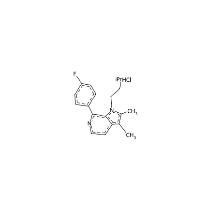 Cc1c(C)n(CCC(C)C)c2c(-c3ccc(F)cc3)nccc12.Cl